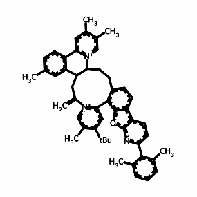 C=C1CC2c3cc(C)ccc3-c3cc(C)c(C)c[n+]3C2CCc2ccc3c(oc4nc(-c5c(C)cccc5C)ccc43)c2-c2cc(C(C)(C)C)c(C)c[n+]21